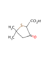 CC1(C)CC(=O)C(C(=O)O)S1